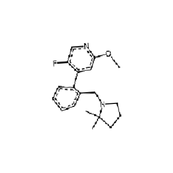 COc1cc(-c2ccccc2CN2CCCC2(C)C)c(F)cn1